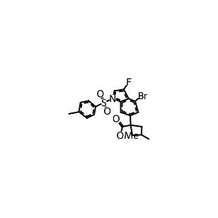 COC(=O)C1(c2cc(Br)c3c(F)cn(S(=O)(=O)c4ccc(C)cc4)c3c2)CC(C)C1